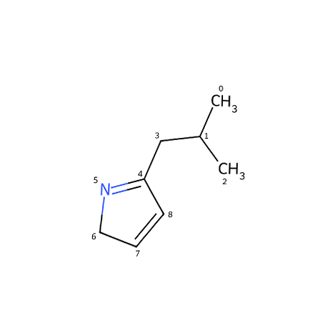 CC(C)CC1=NCC=C1